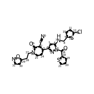 N#Cc1c(-c2cc(NCc3ccc(Cl)s3)n(C(=O)c3cccs3)n2)ccn(CCc2ccno2)c1=O